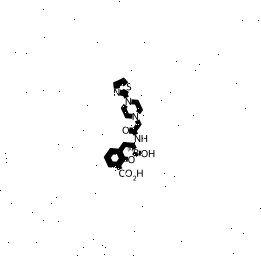 O=C(CN1CCN(c2nccs2)CC1)N[C@H]1Cc2cccc(C(=O)O)c2OB1O